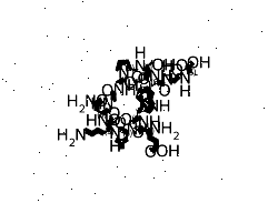 CC(C)C[C@H](NC(=O)[C@H](Cc1c[nH]c2ccccc12)NC(=O)[C@@H](N)CCC(=O)O)C(=O)N[C@@H](CCCCN)C(=O)N[C@@H](CC(N)=O)C(=O)NCC(=O)NCC(=O)N1CCC[C@H]1C(=O)N[C@@H](CO)C(=O)N[C@@H](CO)C(=O)NCC(=O)N[C@@H](C)C(=O)O